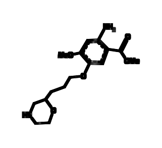 COC(=O)c1cc(OCCCC2CNCCO2)c(OC)cc1N